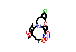 CCO[C@@]1(C=O)/C=C/C[C@H](C)[C@@H](C)S(=O)(=O)NC(=O)c2ccc3c(c2)N(CCCCc2cc(Cl)ccc2CO3)C[C@@H]2CC[C@H]21